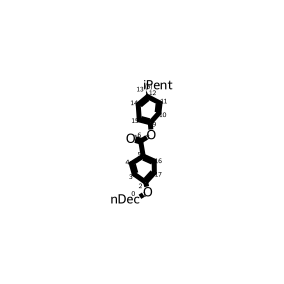 CCCCCCCCCCOc1ccc(C(=O)Oc2ccc([C@@H](C)CCC)cc2)cc1